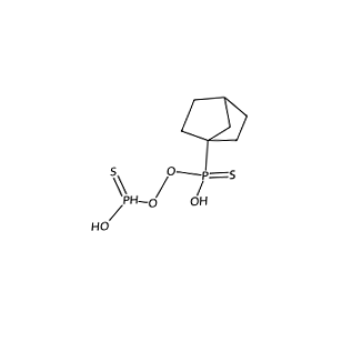 O[PH](=S)OOP(O)(=S)C12CCC(CC1)C2